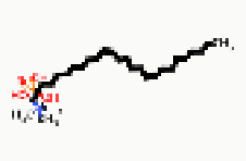 CCCCCCCC/C=C\CCCC/C=C\CCCCCCCCC(O)(C[N+](C)(C)C)P(=O)(O)O